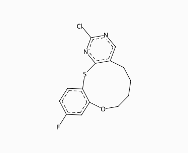 Fc1ccc2c(c1)OCCCCc1cnc(Cl)nc1S2